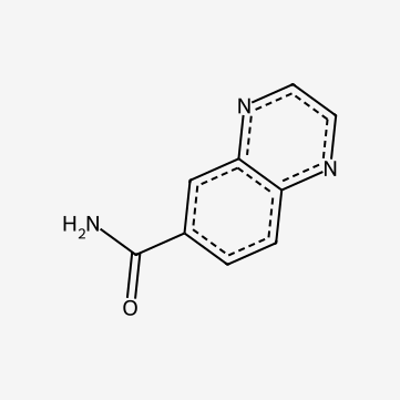 NC(=O)c1ccc2nccnc2c1